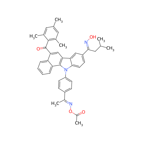 CC(=O)ON=C(C)c1ccc(-n2c3ccc(C(CC(C)C)=NO)cc3c3cc(C(=O)c4c(C)cc(C)cc4C)c4ccccc4c32)cc1